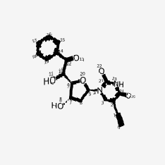 C#Cc1cn([C@H]2C[C@H](O)[C@@H](C(O)C(=O)c3ccccc3)O2)c(=O)[nH]c1=O